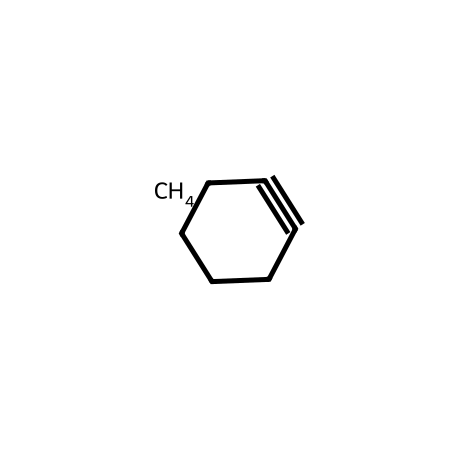 C.C1#CCCCC1